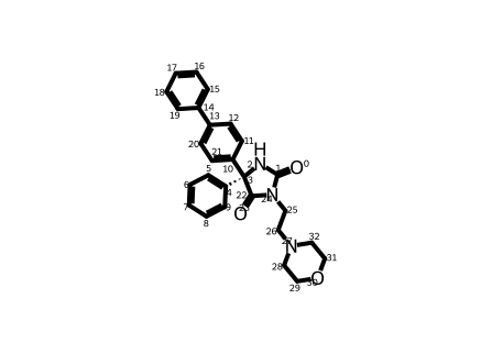 O=C1N[C@](c2ccccc2)(c2ccc(-c3ccccc3)cc2)C(=O)N1CCN1CCOCC1